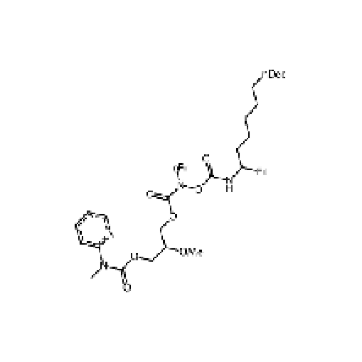 CCCCCCCCCCCCCCCC(CC)NC(=O)ON(CCC)C(=O)OCC(COC(=O)N(C)c1ccccn1)OC